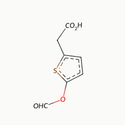 O=COc1ccc(CC(=O)O)s1